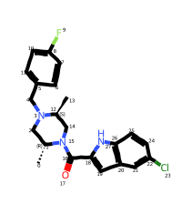 C[C@@H]1CN(Cc2ccc(F)cc2)[C@@H](C)CN1C(=O)c1cc2cc(Cl)ccc2[nH]1